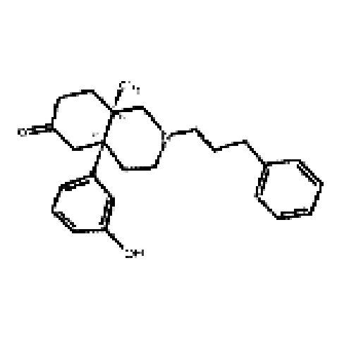 C[C@]12CCC(=O)C[C@@]1(c1cccc(O)c1)CCN(CCCc1ccccc1)C2